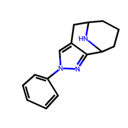 c1ccc(-n2cc3c(n2)C2CCCC(C3)N2)cc1